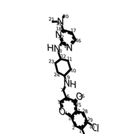 Cc1cc2occ(CNC3CCC(Nc4nccc(N(C)C)n4)CC3)c(=O)c2cc1Cl